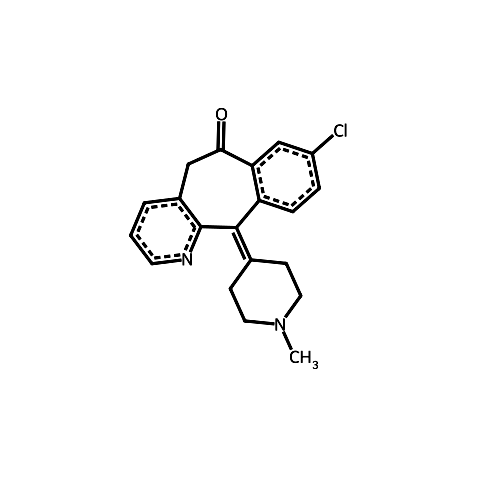 CN1CCC(=C2c3ccc(Cl)cc3C(=O)Cc3cccnc32)CC1